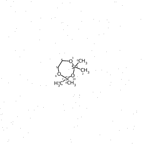 C[Si]1(C)OCCO[Si](C)(C)O1